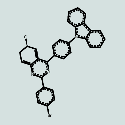 Cl[C@H]1C=c2c(-c3ccc(-n4c5ccccc5c5ccccc54)cc3)nc(-c3ccc(Br)cc3)nc2=CC1